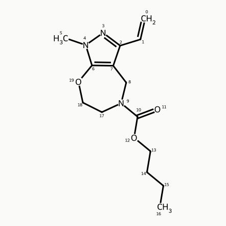 C=Cc1nn(C)c2c1CN(C(=O)OCCCC)CCO2